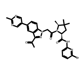 CC(=O)c1nn(CC(=O)N2[C@@H](C)C(C)(C)C[C@H]2C(=O)Nc2cccc(Br)n2)c2ccc(-c3cnc(C)nc3)cc12